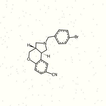 N#Cc1ccc2c(c1)[C@@H]1CN(Cc3ccc(Br)cc3)C[C@H]1CO2